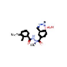 COc1cccc(C(=O)NN(C(=O)c2ccc3c(c2)C=NN(C)B3O)C(C)(C)C)c1C